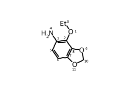 CCOc1c(N)ccc2c1OCO2